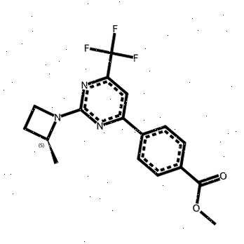 COC(=O)c1ccc(-c2cc(C(F)(F)F)nc(N3CC[C@@H]3C)n2)cc1